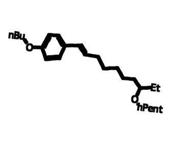 CCCCCOC(CC)CCCCCC=Cc1ccc(OCCCC)cc1